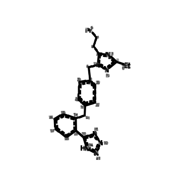 CCc1nc(CCC(C)C)n(Cc2ccc(Cc3ccccc3-c3nnn[nH]3)cc2)n1